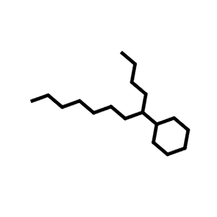 CCCCCCCC(CCCC)C1CCCCC1